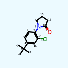 CC(C)(C)c1ccc(N2CCCC2=O)c(Cl)c1